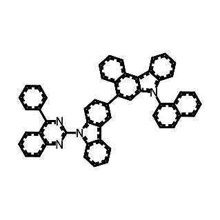 c1ccc(-c2nc(-n3c4ccccc4c4cc(-c5cc6c(c7ccccc57)c5ccccc5n6-c5cccc6ccccc56)ccc43)nc3ccccc23)cc1